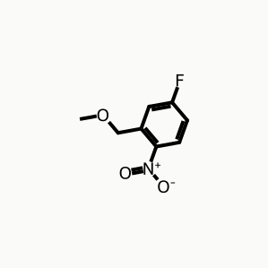 COCc1cc(F)ccc1[N+](=O)[O-]